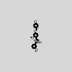 COc1cccc(-c2nc(-c3ccc(OCc4ccc(Cl)cc4)cc3OC)c[nH]2)c1